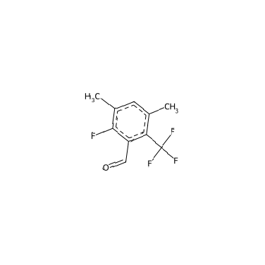 Cc1cc(C)c(C(F)(F)F)c(C=O)c1F